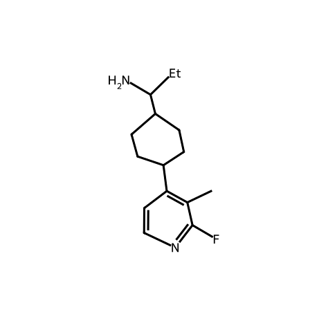 CCC(N)C1CCC(c2ccnc(F)c2C)CC1